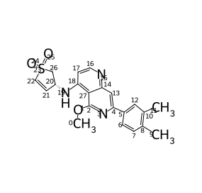 COc1nc(-c2ccc(C)c(C)c2)cc2nccc(N[C@@H]3C=CS(=O)(=O)C3)c12